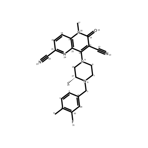 Cc1ccc(CN2CCN(c3c(C#N)c(=O)n(C)c4ccc(C#N)nc34)C[C@H]2C)cc1F